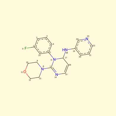 Fc1cccc(N2C(N3CCOCC3)=NC=CC2Nc2cccnc2)c1